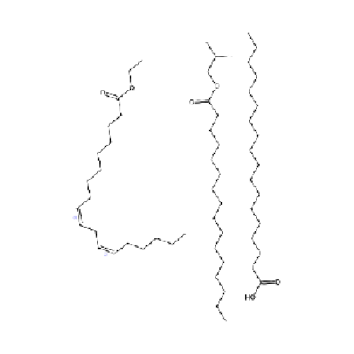 CCCCC/C=C\C/C=C\CCCCCCCC(=O)OCC.CCCCCCCCCCCCCCCC(=O)OCC(C)C.CCCCCCCCCCCCCCCCCC(=O)O